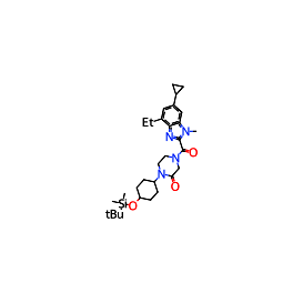 CCc1cc(C2CC2)cc2c1nc(C(=O)N1CCN(C3CCC(O[Si](C)(C)C(C)(C)C)CC3)C(=O)C1)n2C